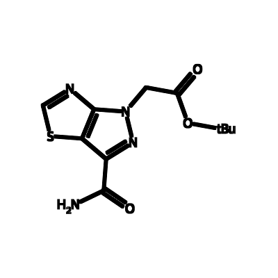 CC(C)(C)OC(=O)Cn1nc(C(N)=O)c2scnc21